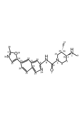 CN[C@H]1CCN(C(=O)Nc2cc3cc(-c4cnc(C)o4)ccc3cn2)C[C@@H]1F